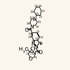 CC1(C)COCN1C(=O)n1nc2ccc(C(=O)N3CCN(C4CCCCC4)CC3)cc2n1